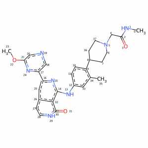 CNC(=O)CN1CCC(c2ccc(Nc3nc(-c4cncc(OC)n4)cc4cc[nH]c(=O)c34)cc2C)CC1